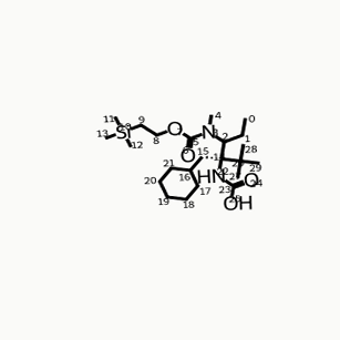 CCC(N(C)C(=O)OCC[Si](C)(C)C)[C@](CC1CCCCC1)(NC(=O)O)C(C)(C)C